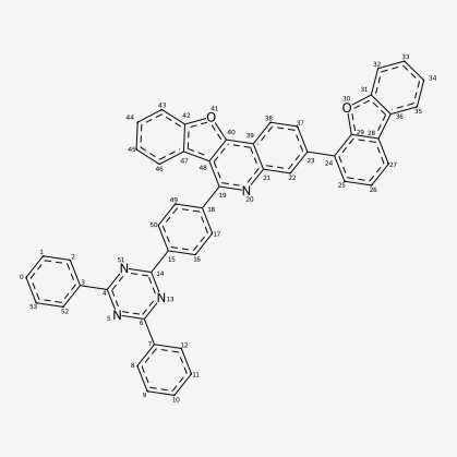 c1ccc(-c2nc(-c3ccccc3)nc(-c3ccc(-c4nc5cc(-c6cccc7c6oc6ccccc67)ccc5c5oc6ccccc6c45)cc3)n2)cc1